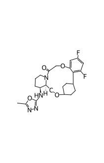 Cc1nnc(N[C@H]2CCCN3C(=O)COc4cc(F)cc(F)c4C4CCC(CC4)OC[C@@H]23)o1